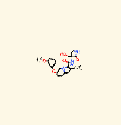 COc1cccc(Oc2ccc3cc(C)c(C(=O)NC4(CO)CCNC4=O)n3c2)c1